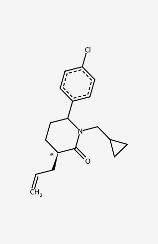 C=CC[C@H]1CCC(c2ccc(Cl)cc2)N(CC2CC2)C1=O